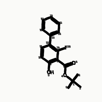 CC(C)(C)OC(=O)c1c(O)ccc(-c2ccccc2)c1F